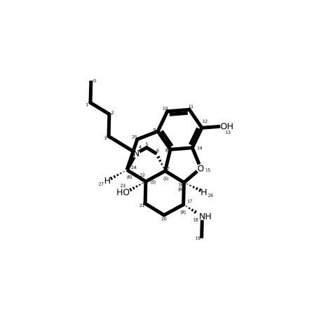 CCCCN1CC[C@]23c4c5ccc(O)c4O[C@H]2[C@H](NC)CC[C@@]3(O)[C@H]1C5